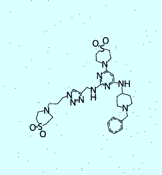 O=S1(=O)CCN(CCCn2cc(CNc3nc(NC4CCN(Cc5ccccc5)CC4)cc(N4CCS(=O)(=O)CC4)n3)nn2)CC1